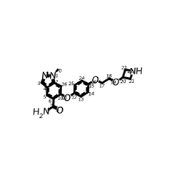 Cn1ncc2cc(C(N)=O)c(Oc3ccc(OCCOC4CNC4)cc3)cc21